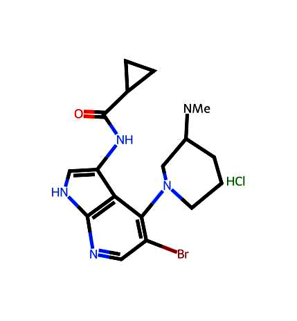 CNC1CCCN(c2c(Br)cnc3[nH]cc(NC(=O)C4CC4)c23)C1.Cl